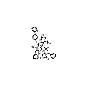 CN(C(=O)O)[C@H](C(=O)N[C@@H](Cc1ccc(-c2ccccn2)cc1)C[C@H](O)[C@H](Cc1ccccc1)NC(=O)[C@H](C1CNC(=O)N1Cc1ccccc1)C(C)(C)C)C(C)(C)C